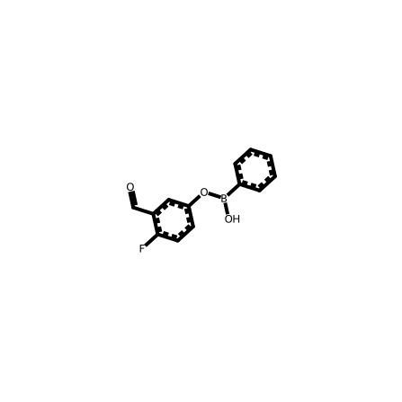 O=Cc1cc(OB(O)c2ccccc2)ccc1F